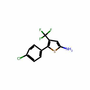 Nc1cc(C(F)(F)F)c(-c2ccc(Cl)cc2)s1